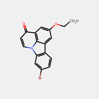 O=C(O)COc1cc2c(=O)ccn3c4cc(Br)ccc4c(c1)c23